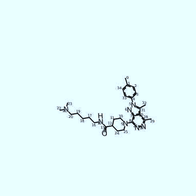 Cc1ccc(-n2nc3c(N4CCC(C(=O)NCCCCCN(C)C)CC4)nnc(C)c3c2C)cc1